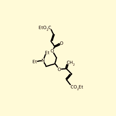 C=C(/C=C/C(=O)OCC)OC(COC(=O)/C=C/C(=O)OCC)CN(CC)CC